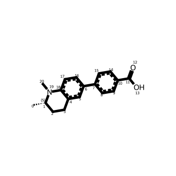 C[C@H]1CCc2cc(-c3ccc(C(=O)O)cc3)ccc2N1C